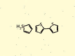 C1=C[SiH2]C=C1.c1csc(-c2cccs2)c1